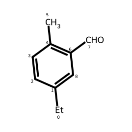 CCc1ccc(C)c(C=O)c1